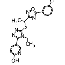 CCn1c(SC(C)c2noc(-c3cccc(Cl)c3)n2)nnc1-c1ccc(O)nc1